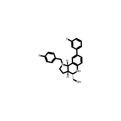 OC[C@H]1Nc2ccc(-c3cccc(F)c3)cc2[C@@H]2[C@H]1CCN2Cc1ccc(F)cc1